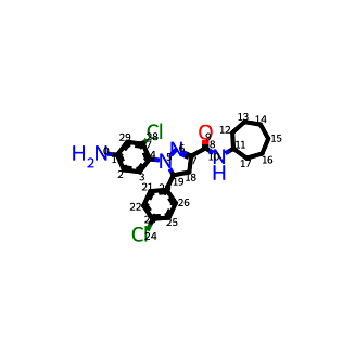 Nc1ccc(N2N=C(C(=O)NC3CCCCCC3)CC2c2ccc(Cl)cc2)c(Cl)c1